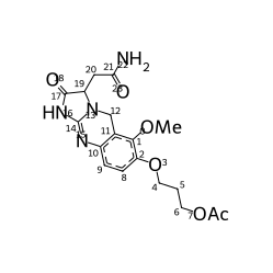 COc1c(OCCCOC(C)=O)ccc2c1CN1C(=N2)NC(=O)C1CC(N)=O